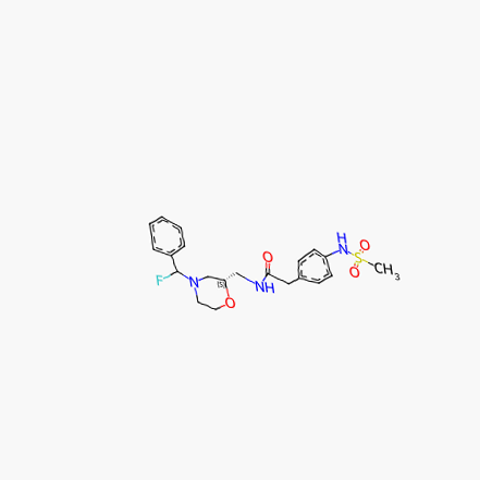 CS(=O)(=O)Nc1ccc(CC(=O)NC[C@H]2CN(C(F)c3ccccc3)CCO2)cc1